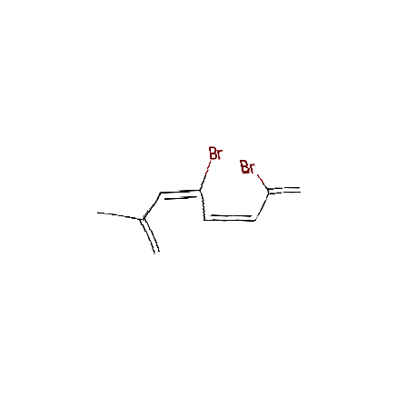 C=C(Br)/C=C\C(Br)=C/C(=C)C